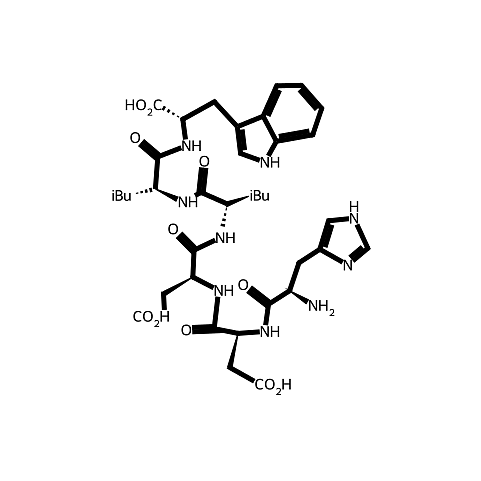 CC[C@H](C)[C@H](NC(=O)[C@H](CC(=O)O)NC(=O)[C@H](CC(=O)O)NC(=O)[C@H](N)Cc1c[nH]cn1)C(=O)N[C@H](C(=O)N[C@@H](Cc1c[nH]c2ccccc12)C(=O)O)[C@@H](C)CC